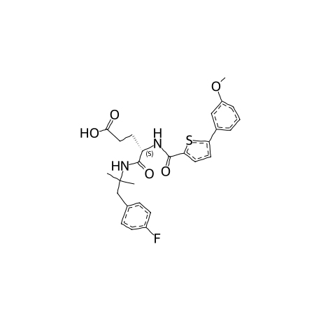 COc1cccc(-c2ccc(C(=O)N[C@@H](CCC(=O)O)C(=O)NC(C)(C)Cc3ccc(F)cc3)s2)c1